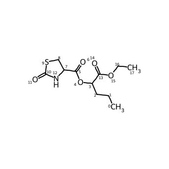 CCCC(OC(=O)C1CSC(=O)N1)C(=O)OCC